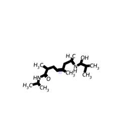 C/C(=C/CC(C)C(=O)NC(C)C)CC(C)NC(O)C(C)C